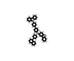 c1ccc2c(-c3ccc(N(c4ccc(-c5ccc(-n6c7ccccc7c7ccccc76)cc5)cc4)c4ccc5oc6ccccc6c5c4)cc3)cccc2c1